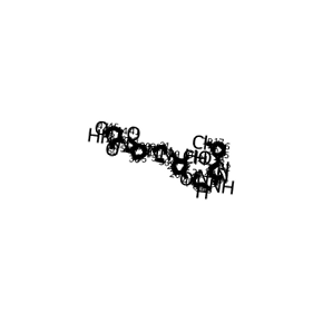 Cc1cc(O[C@@H]2C[C@@H]3CNc4nnc(-c5cccc(Cl)c5O)cc4N3C2)ccc1CN1CCN(c2ccc3c(c2)C(=O)N(C2CCC(=O)NC2=O)C3)CC1